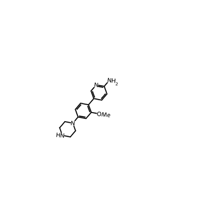 COc1cc(N2CCNCC2)ccc1-c1ccc(N)nc1